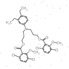 CCc1ccc(N(CCCOC(=O)c2c(Cl)ccc(Cl)c2OC)CCCOC(=O)c2c(Cl)ccc(Cl)c2OC)cc1CC